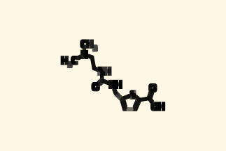 CN(C)CCNC(=O)NCc1ccc(C(=O)O)s1